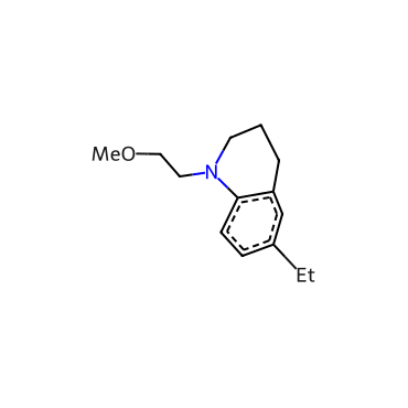 CCc1ccc2c(c1)CCCN2CCOC